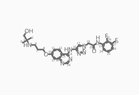 CC(C)(CO)NCCCOc1ccc2c(Nc3cn(CC(=O)Nc4cccc(F)c4F)nn3)ncnc2c1